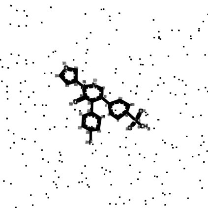 CS(=O)(=O)c1ccc(-c2cnn(-c3ccoc3)c(=O)c2-c2ccc(F)cc2)cc1